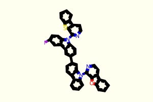 Ic1ccc2c(c1)c1cc(-c3ccc4c5ccccc5n(-c5nccc6c5oc5ccccc56)c4c3)ccc1n2-c1nccc2c1sc1ccccc12